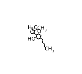 CCCCCc1cc(O)c2c(c1)OC(C)(C)C1=C2CCS1